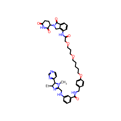 CCC1N=C(CNc2cccc(C(=O)NCc3ccc(OCCCCCOCCCOCC(=O)Nc4cccc5c4CN(C4CCC(=O)NC4=O)C5=O)cc3)c2)N(C)C1c1ccncn1